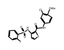 COc1ccc(NC(=O)c2sccc2NS(=O)(=O)c2ccccc2F)cc1Cl